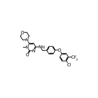 Cn1c(N2CCOCC2)cc(NCc2ccc(Oc3ccc(Cl)c(C(F)(F)F)c3)cc2)nc1=O